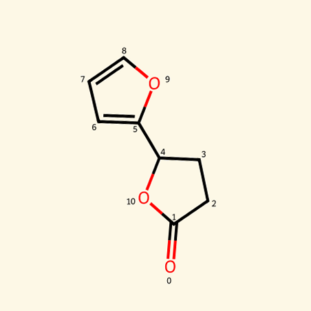 O=C1CCC(c2ccco2)O1